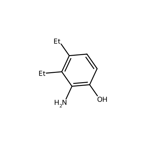 CCc1ccc(O)c(N)c1CC